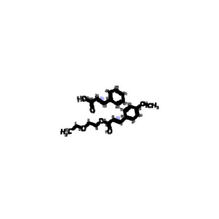 CCOCCOC(=O)/C=C/c1ccc(OC)cc1.O=C(O)/C=C/c1ccccc1